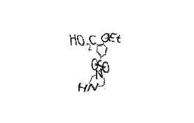 CCOc1ccc(S(=O)(=O)N2C[C@@H](C)N[C@@H](C)C2)cc1C(=O)O